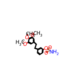 COc1cc(CCc2cccc(OS(N)(=O)=O)c2)cc(OC)c1OC